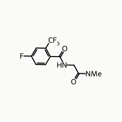 CNC(=O)CNC(=O)c1ccc(F)cc1C(F)(F)F